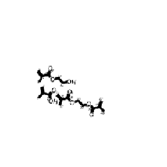 C=C(C)C(=O)O.C=C(C)C(=O)OCCO.C=C(C)C(=O)OCCOC(=O)C(=C)C